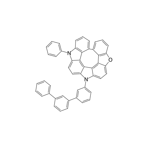 c1ccc(-c2cccc(-c3cccc(-n4c5ccc6oc7cccc8c9cccc%10c9c9c(c5c6c78)c4ccc9n%10-c4ccccc4)c3)c2)cc1